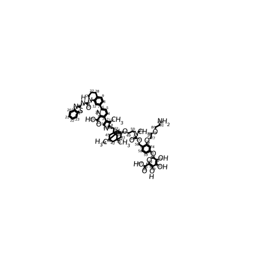 Cc1c(-c2ccc(-c3ccc4c(c3)N(C(=O)Nc3nc5ccccc5s3)CCC4)nc2C(=O)O)cnn1CC12CC3(C)C[C@@](C)(C1)C[C@@](OCCN(C)C(=O)OCc1ccc(O[C@H]4OC(C(=O)O)=C(O)C(O)=C4O)cc1OCCOCCN)(C3)C2